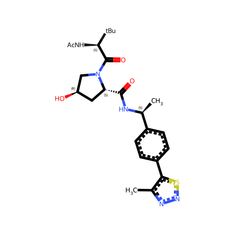 CC(=O)N[C@H](C(=O)N1C[C@H](O)C[C@H]1C(=O)N[C@@H](C)c1ccc(-c2snnc2C)cc1)C(C)(C)C